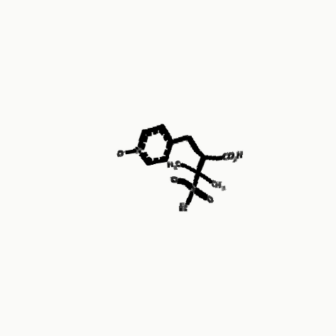 CCS(=O)(=O)C(C)(C)C(Cc1cc[n+]([O-])cc1)C(=O)O